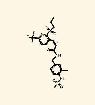 CCCS(=O)(=O)c1nc(C(F)(F)F)ccc1/C=C\C(=O)NCc1ccc(NS(C)(=O)=O)c(C)c1